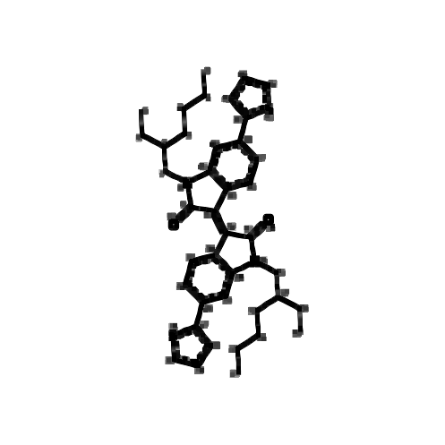 CCCCC(CC)CN1C(=O)/C(=C2/C(=O)N(CC(CC)CCCC)c3cc(-c4cccs4)ccc32)c2ccc(-c3cccs3)cc21